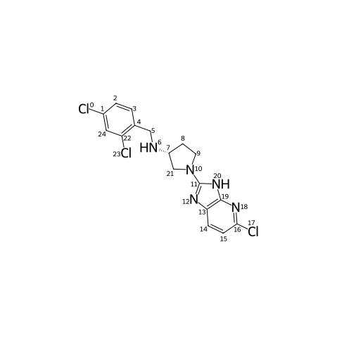 Clc1ccc(CN[C@@H]2CCN(c3nc4ccc(Cl)nc4[nH]3)C2)c(Cl)c1